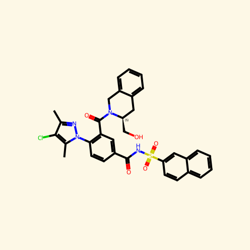 Cc1nn(-c2ccc(C(=O)NS(=O)(=O)c3ccc4ccccc4c3)cc2C(=O)N2Cc3ccccc3C[C@H]2CO)c(C)c1Cl